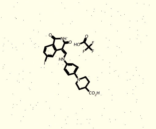 O=C(O)C(F)(F)F.O=C1NC(=O)c2ccc(I)cc2C1=CNc1ccc(N2CCC(C(=O)O)CC2)cc1